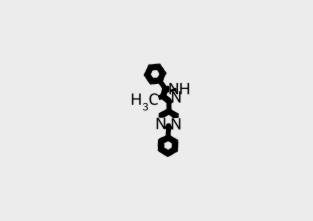 Cc1c(-c2cnc(-c3ccccc3)nc2)n[nH]c1-c1ccccc1